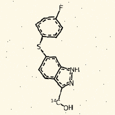 O[14CH2]c1n[nH]c2cc(Sc3ccc(F)cc3)ccc12